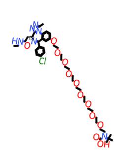 CCNC(=O)C[C@@H]1N=C(c2ccc(Cl)cc2)c2cc(OCCOCCOCCOCCOCCOCCOCCOCCOCCN(C(=O)O)C(C)(C)C)ccc2-n2c(C)nnc21